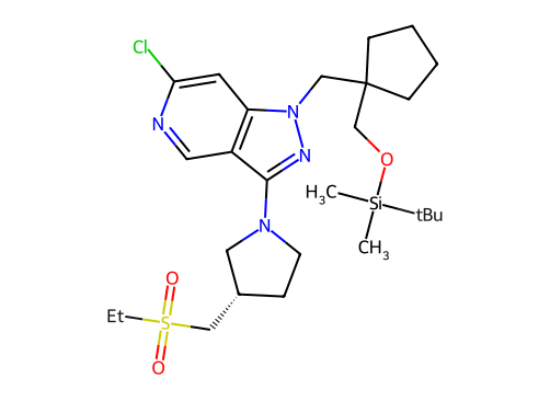 CCS(=O)(=O)C[C@H]1CCN(c2nn(CC3(CO[Si](C)(C)C(C)(C)C)CCCC3)c3cc(Cl)ncc23)C1